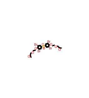 O=S(=O)(c1cc(Br)c(OCCOCC2CO2)c(Br)c1)c1cc(Br)c(OCCOCC2CO2)c(Br)c1